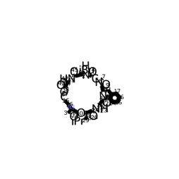 CCC(C)[C@@H]1NC(=O)CN(C)C(=O)[C@@H](Cc2ccccc2)N(C)C(=O)[C@H](C)NC(=O)[C@@H](CC(C)C)OC(=O)/C(C)=C/CCOC(=O)[C@@H](C)NC1=O